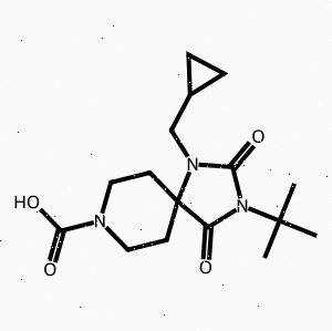 CC(C)(C)N1C(=O)N(CC2CC2)C2(CCN(C(=O)O)CC2)C1=O